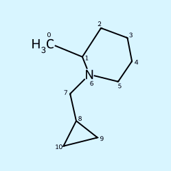 CC1CCCCN1CC1CC1